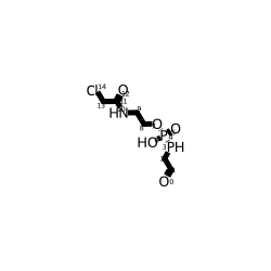 O=CCPP(=O)(O)OCCNC(=O)CCl